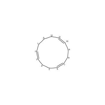 [CH]1CC=CCCC=CCCC=CC1